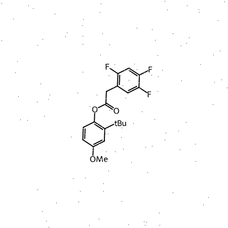 COc1ccc(OC(=O)Cc2cc(F)c(F)cc2F)c(C(C)(C)C)c1